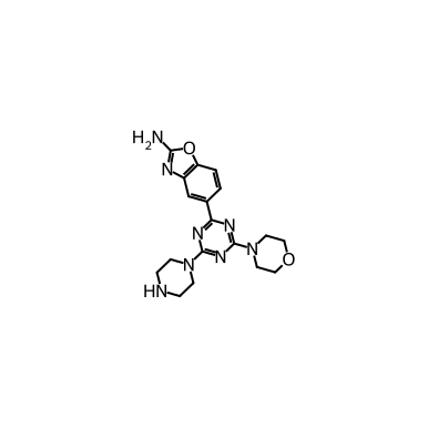 Nc1nc2cc(-c3nc(N4CCNCC4)nc(N4CCOCC4)n3)ccc2o1